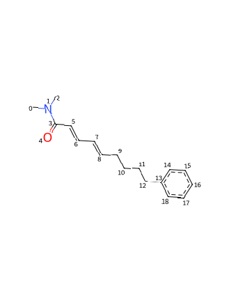 CN(C)C(=O)/C=C/C=C/CCCCc1ccccc1